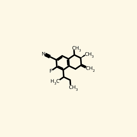 C=C1Cc2c(cc(C#N)c(F)c2C(C)CC)C(C)[C@H]1C